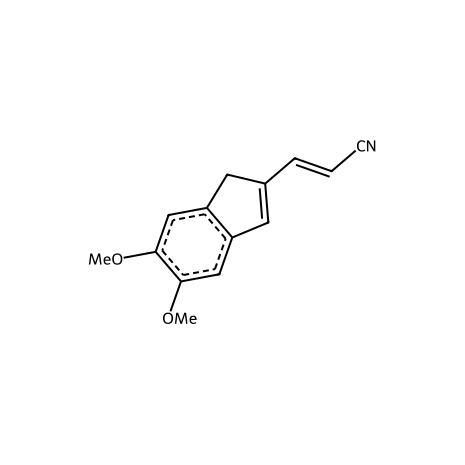 COc1cc2c(cc1OC)CC(/C=C/C#N)=C2